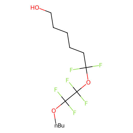 CCCCOC(F)(F)C(F)(F)OC(F)(F)CCCCCO